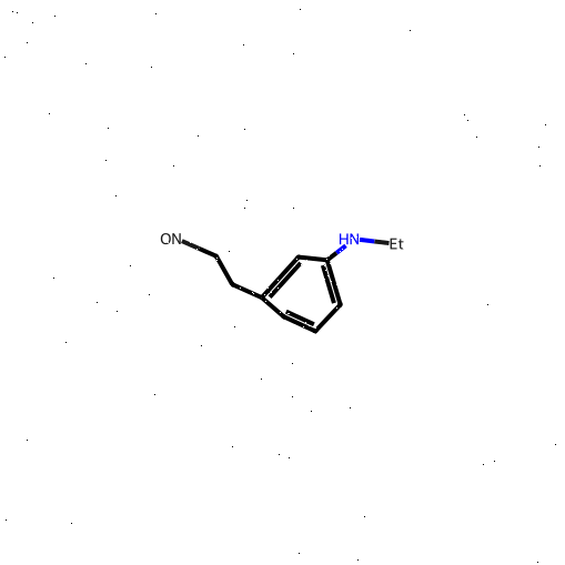 CCNc1cccc(CCN=O)c1